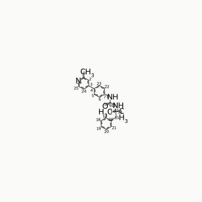 Cc1cc(-c2ccc(NC(=O)NC(C)(C)Cc3ccccc3)cc2)ccn1